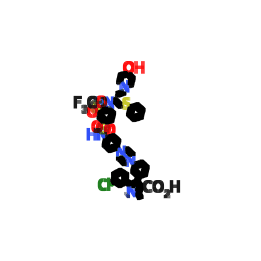 Cc1c(C(=O)O)c(-c2cccc(N3CCN(c4ccc(NS(=O)(=O)c5ccc(N[C@H](CCN6CCC(O)CC6)CSc6ccccc6)c(S(=O)(=O)C(F)(F)F)c5)cc4)CC3)c2)c(-c2cccc(Cl)c2)n1C